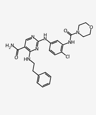 NC(=O)c1cnc(Nc2ccc(Cl)c(NC(=O)N3CCOCC3)c2)nc1NCCc1ccccc1